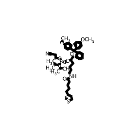 COc1ccc(C(OCC(CCCCNC(=O)CCCCC2CCSS2)COP(OCCC#N)N(C(C)C)C(C)C)(c2ccccc2)c2ccc(OC)cc2)cc1